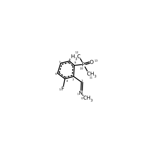 C/N=C/c1c(F)cccc1P(C)(C)=O